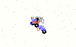 CC(C)(C)NS(=O)(=O)c1cc(NC(=O)NCc2ccccn2)ccc1-c1cn[c]s1